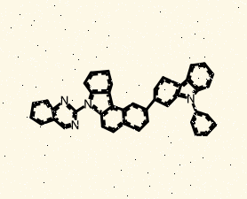 c1ccc(-n2c3ccccc3c3ccc(-c4ccc5ccc6c(c5c4)c4ccccc4n6-c4ncc5ccccc5n4)cc32)cc1